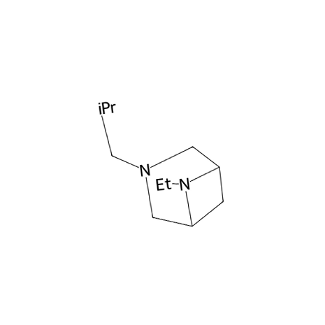 CCN1C2CC1CN(CC(C)C)C2